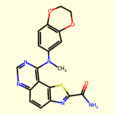 CN(c1ccc2c(c1)OCCO2)c1ncnc2ccc3nc(C(N)=O)sc3c12